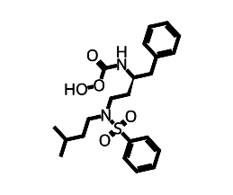 CC(C)CCN(CC[C@H](Cc1ccccc1)NC(=O)OO)S(=O)(=O)c1ccccc1